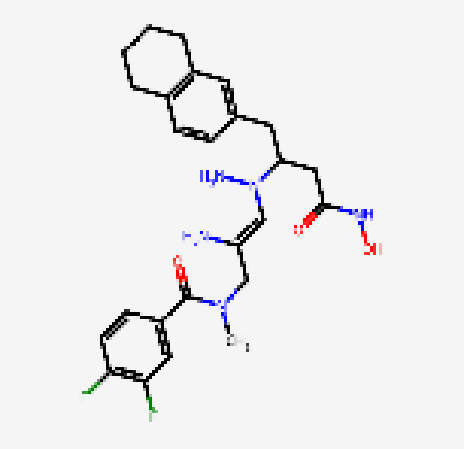 CN(C/C(N)=C/N(N)C(CC(=O)NO)Cc1ccc2c(c1)CCCC2)C(=O)c1ccc(F)c(F)c1